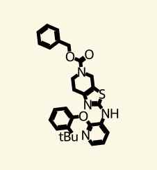 CC(C)(C)c1ccccc1Oc1ncccc1Nc1nc2c(s1)CN(C(=O)OCc1ccccc1)CC2